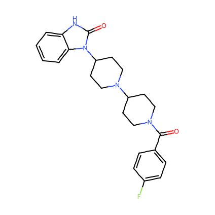 O=C(c1ccc(F)cc1)N1CCC(N2CCC(n3c(=O)[nH]c4ccccc43)CC2)CC1